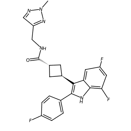 Cn1ncc(CNC(=O)[C@H]2C[C@H](c3c(-c4ccc(F)cc4)[nH]c4c(F)cc(F)cc43)C2)n1